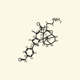 CC1=C2C(=O)N(CCN)C(=O)[C@@H]2C2(c3sc(-c4ccc(C=O)cc4)cc31)C1CC3CC(C1)CC2C3